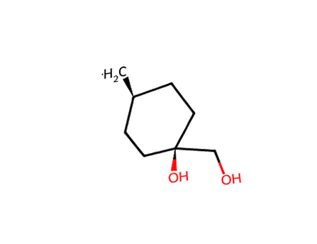 [CH2][C@H]1CC[C@](O)(CO)CC1